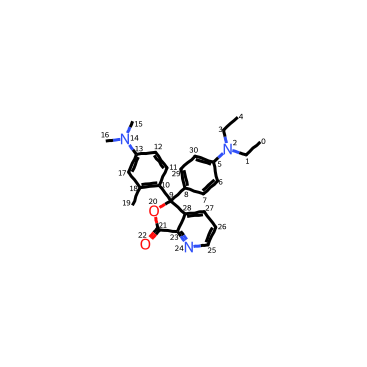 CCN(CC)c1ccc(C2(c3ccc(N(C)C)cc3C)OC(=O)c3ncccc32)cc1